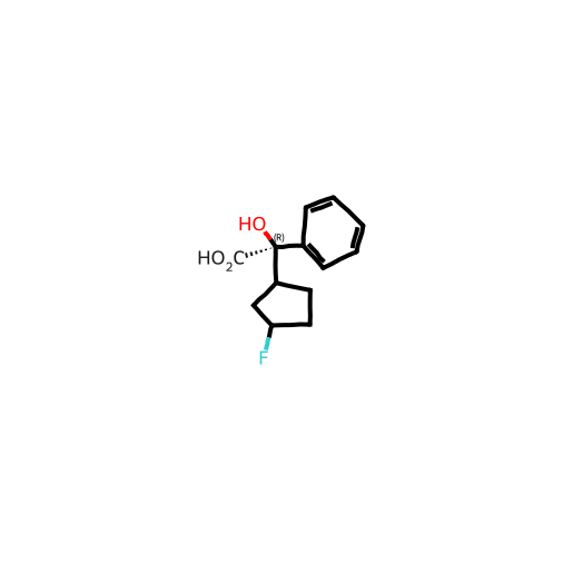 O=C(O)[C@](O)(c1ccccc1)C1CCC(F)C1